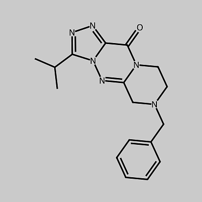 CC(C)c1nnc2c(=O)n3c(nn12)CN(Cc1ccccc1)CC3